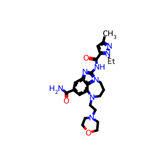 CCn1nc(C)cc1C(=O)Nc1nc2cc(C(N)=O)cc3c2n1CCCN3CCN1CCOCC1